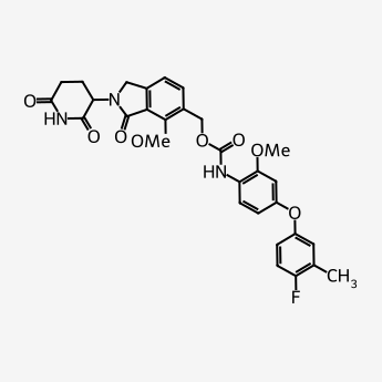 COc1cc(Oc2ccc(F)c(C)c2)ccc1NC(=O)OCc1ccc2c(c1OC)C(=O)N(C1CCC(=O)NC1=O)C2